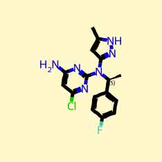 Cc1cc(N(c2nc(N)cc(Cl)n2)[C@@H](C)c2ccc(F)cc2)n[nH]1